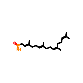 CC(C)=CCC/C(C)=C\CC/C(C)=C/CC/C(C)=C/CP(=O)=P